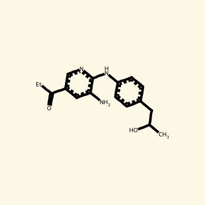 CCC(=O)c1cnc(Nc2ccc(CC(C)O)cc2)c(N)c1